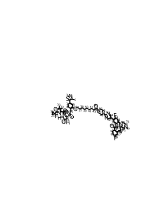 Cc1ncsc1-c1ccc(CNC(=O)[C@@H]2C[C@@H](O)CN2C(=O)[C@@H](NC(=O)C2(F)CC2)C(C)(C)C)c(OCCCCCCCCC(=O)N2CCN(c3ncc(-c4cc(NC(=O)c5ccc(F)cc5C(F)(F)F)c(N5C[C@@H](C)N(C)[C@@H](C)C5)cc4F)cn3)CC2)c1